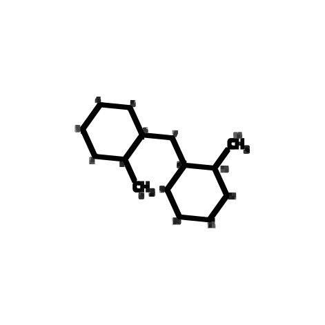 CC1C[CH]CC[C]1C[C]1CC[CH]CC1C